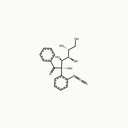 O=C(c1ccccc1)[C@](O)(c1ccccc1N=C=S)[C@@H](O)[C@H](O)[C@H](O)CO